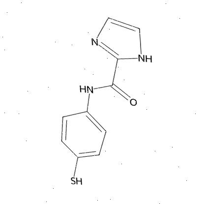 O=C(Nc1ccc(S)cc1)c1ncc[nH]1